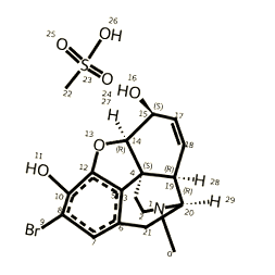 CN1CC[C@]23c4c5cc(Br)c(O)c4O[C@H]2[C@@H](O)C=C[C@H]3[C@H]1C5.CS(=O)(=O)O